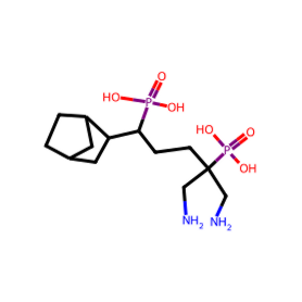 NCC(CN)(CCC(C1CC2CCC1C2)P(=O)(O)O)P(=O)(O)O